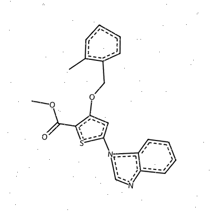 COC(=O)c1sc(-n2cnc3ccccc32)cc1OCc1ccccc1C